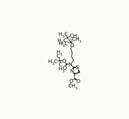 COC(=O)c1csc(N(CCCCO[Si](C)(C)C(C)(C)C)C(=O)OC(C)(C)C)n1